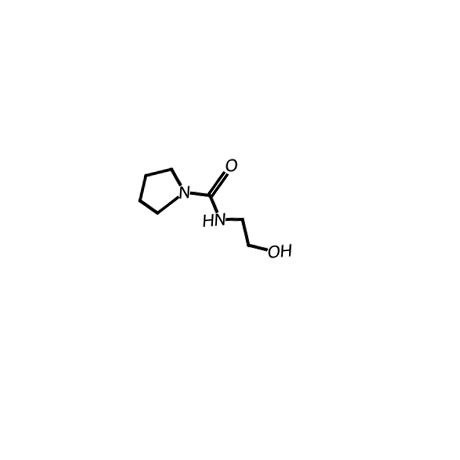 O=C(NCCO)N1CCCC1